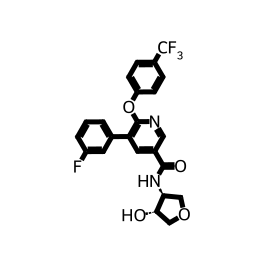 O=C(N[C@@H]1COC[C@@H]1O)c1cnc(Oc2ccc(C(F)(F)F)cc2)c(-c2cccc(F)c2)c1